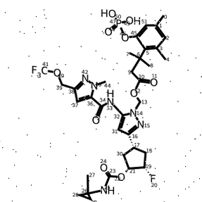 Cc1cc(C)c(C(C)(C)CC(=O)OCn2nc([C@@H]3C[C@H](F)[C@H](OC(=O)NC4(C)CC4)C3)cc2NC(=O)c2cc(COC(F)(F)F)nn2C)c(OP(=O)(O)O)c1